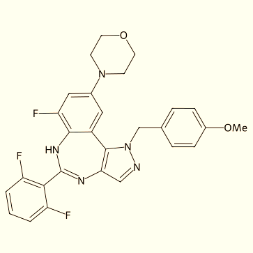 COc1ccc(Cn2ncc3c2-c2cc(N4CCOCC4)cc(F)c2NC(c2c(F)cccc2F)=N3)cc1